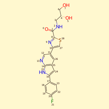 O=C(NC[C@@H](O)CO)c1nc(-c2cnc3[nH]c(-c4ccc(F)cc4)cc3c2)cs1